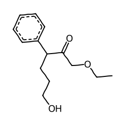 CCOCC(=O)C(CCCO)c1ccccc1